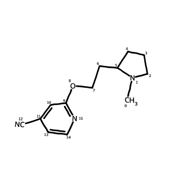 CN1CCCC1CCOc1cc(C#N)ccn1